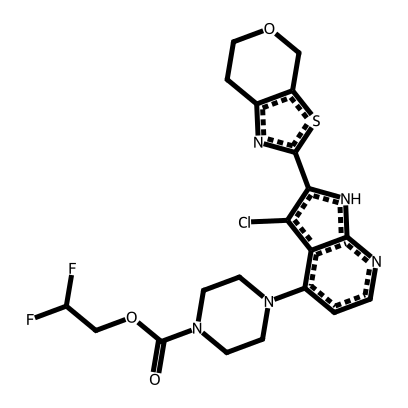 O=C(OCC(F)F)N1CCN(c2ccnc3[nH]c(-c4nc5c(s4)COCC5)c(Cl)c23)CC1